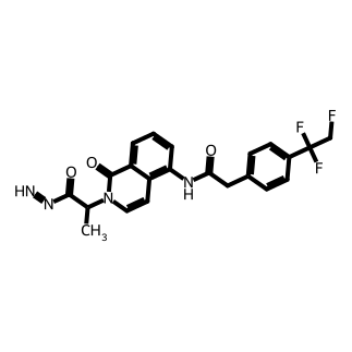 CC(C(=O)N=N)n1ccc2c(NC(=O)Cc3ccc(C(F)(F)CF)cc3)cccc2c1=O